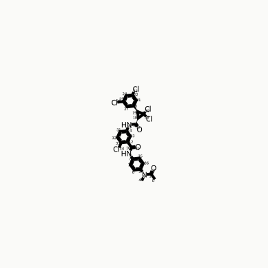 CC(=O)N(C)c1ccc(NC(=O)c2cc(NC(=O)[C@@H]3[C@@H](c4cc(Cl)cc(Cl)c4)C3(Cl)Cl)ccc2Cl)cc1